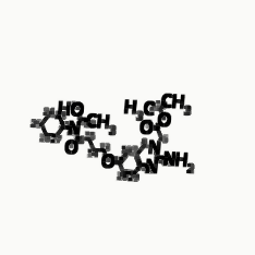 CC(C)OC(=O)CN1Cc2cc(OCCCC(=O)N(C(C)O)C3CCCCC3)ccc2N=C1N